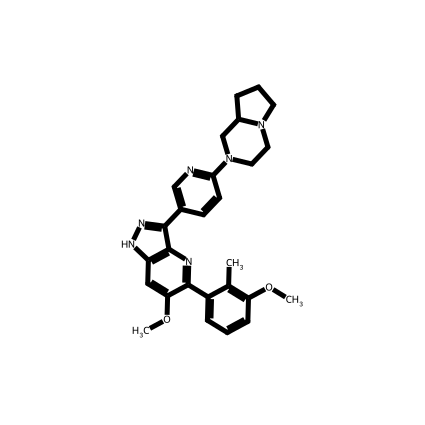 COc1cc2[nH]nc(-c3ccc(N4CCN5CCCC5C4)nc3)c2nc1-c1cccc(OC)c1C